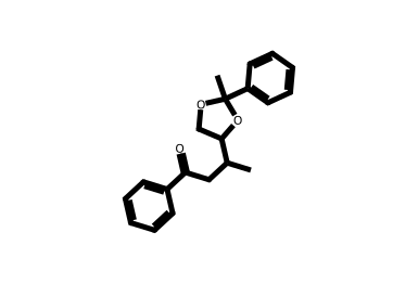 CC(CC(=O)c1ccccc1)C1COC(C)(c2ccccc2)O1